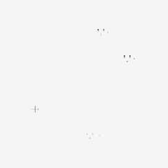 COC=C(C(=O)O)c1ccc(OC)c(OC)c1